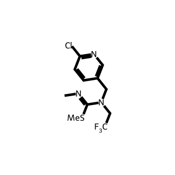 CN=C(SC)N(Cc1ccc(Cl)nc1)CC(F)(F)F